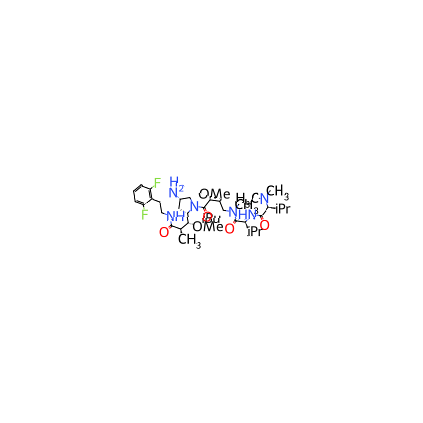 CC[C@H](C)C([C@@H](CC(=O)N1C[C@@H](N)C[C@H]1[C@H](OC)[C@@H](C)C(=O)NCCc1c(F)cccc1F)OC)N(C)C(=O)[C@@H](NC(=O)[C@H](C(C)C)N(C)C)C(C)C